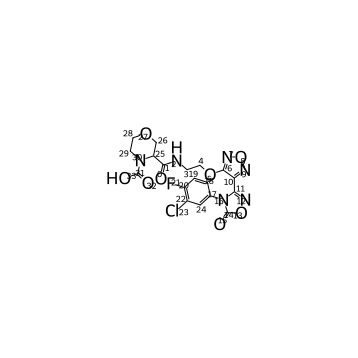 O=C(NCCOc1nonc1-c1noc(=O)n1-c1ccc(F)c(Cl)c1)C1COCCN1C(=O)O